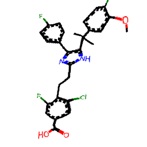 COc1cc(C(C)(C)c2[nH]c(CCc3c(F)cc(C(=O)O)cc3Cl)nc2-c2ccc(F)cc2)ccc1Cl